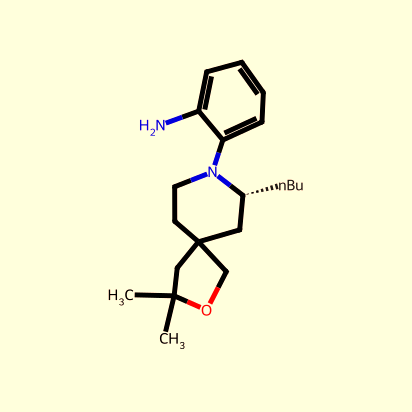 CCCC[C@@H]1CC2(CCN1c1ccccc1N)COC(C)(C)C2